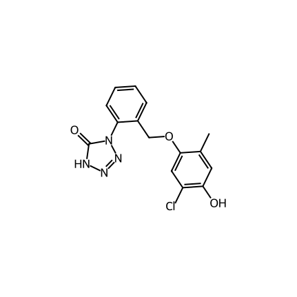 Cc1cc(O)c(Cl)cc1OCc1ccccc1-n1nn[nH]c1=O